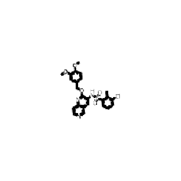 COc1ccc(COc2nc3ccncc3cc2NS(=O)(=O)c2cccc(Cl)c2C)cc1OC